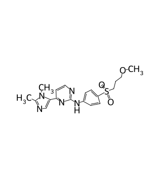 COCCCS(=O)(=O)c1ccc(Nc2nccc(-c3cnc(C)n3C)n2)cc1